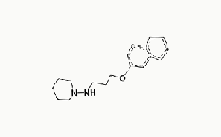 c1ccc2cc(OCCCNN3CCCCC3)ccc2c1